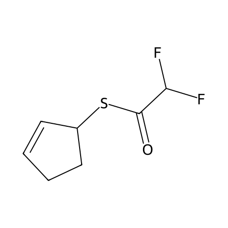 O=C(SC1C=CCC1)C(F)F